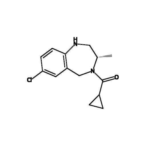 C[C@H]1CNc2ccc(Cl)cc2CN1C(=O)C1CC1